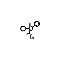 CC(C)(C)OC(=O)c1nc(-c2ccccc2)[nH]c1C1CCCCC1